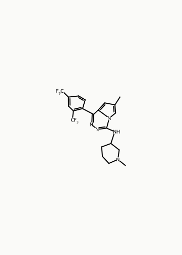 Cc1cc2c(-c3ccc(C(F)(F)F)cc3C(F)(F)F)nnc(NC3CCCN(C)C3)n2c1